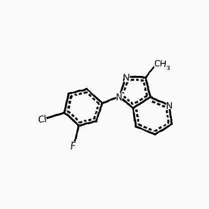 Cc1nn(-c2ccc(Cl)c(F)c2)c2cccnc12